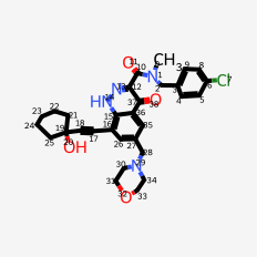 CN(Cc1ccc(Cl)cc1)C(=O)c1n[nH]c2c(C#CC3(O)CCCCC3)cc(CN3CCOCC3)cc2c1=O